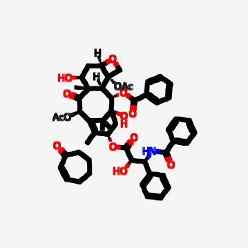 CC(=O)O[C@H]1C(=O)[C@@]2(C)[C@H]([C@H](OC(=O)c3ccccc3)[C@]3(O)C[C@H](OC(=O)[C@H](O)[C@@H](NC(=O)c4ccccc4)c4ccccc4)C(C)=C1C3(C)C)[C@]1(OC(C)=O)CO[C@@H]1C[C@@H]2O.O=C1C=CCCCC1